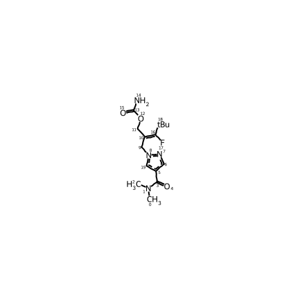 CN(C)C(=O)c1cnn(CC(COC(N)=O)=C(F)C(C)(C)C)c1